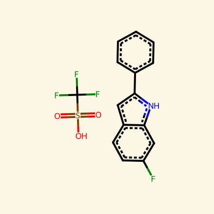 Fc1ccc2cc(-c3ccccc3)[nH]c2c1.O=S(=O)(O)C(F)(F)F